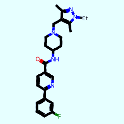 CCn1nc(C)c(CN2CCC(NC(=O)c3ccc(-c4cccc(F)c4)nc3)CC2)c1C